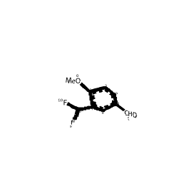 COc1ccc([C]=O)cc1C(F)F